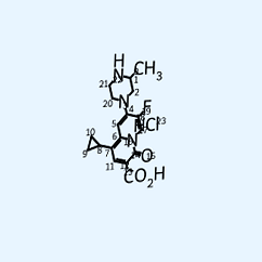 CC1CN(c2cc3c(C4CC4)cc(C(=O)O)c(=O)n3cc2F)CCN1.Cl